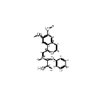 COc1cc2c(cc1OC)C(CN(C)C(Oc1ccccc1)C(C)O)OCC2